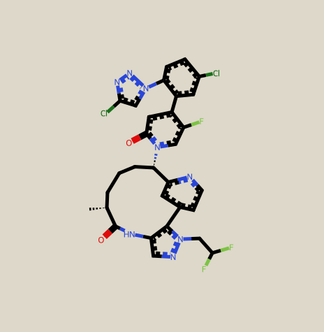 C[C@@H]1CCC[C@H](n2cc(F)c(-c3cc(Cl)ccc3-n3cc(Cl)nn3)cc2=O)c2cc(ccn2)-c2c(cnn2CC(F)F)NC1=O